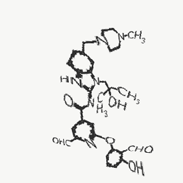 CN1CCN(Cc2ccc3[nH]/c(=N\C(=O)c4cc(C=O)nc(Oc5cccc(O)c5C=O)c4)n(CC(C)(C)O)c3c2)CC1